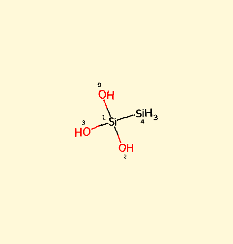 O[Si](O)(O)[SiH3]